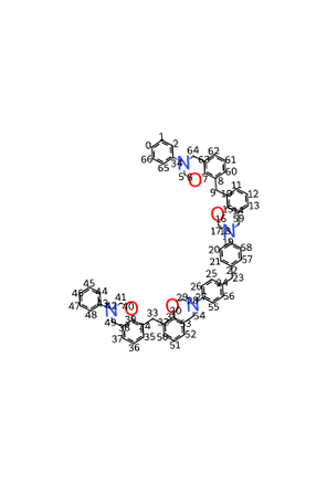 c1ccc(N2COc3c(Cc4cccc5c4OCN(c4ccc(Cc6ccc(N7COc8c(Cc9cccc%10c9OCN(c9ccccc9)C%10)cccc8C7)cc6)cc4)C5)cccc3C2)cc1